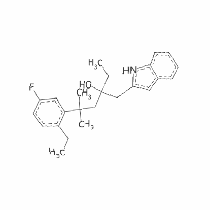 CCc1ccc(F)cc1C(C)(C)CC(O)(CC)Cc1cc2ccccc2[nH]1